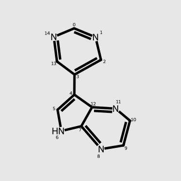 c1ncc(-c2c[nH]c3nccnc23)cn1